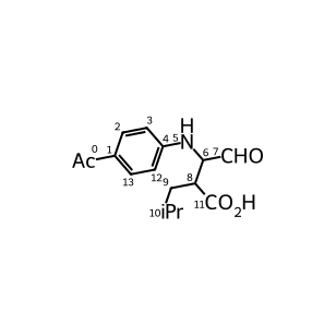 CC(=O)c1ccc(NC(C=O)C(CC(C)C)C(=O)O)cc1